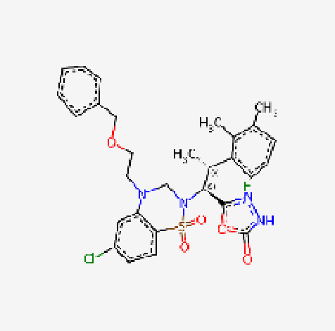 Cc1ccc(F)c([C@@H](C)[C@@H](c2n[nH]c(=O)o2)N2CN(CCOCc3ccccc3)c3cc(Cl)ccc3S2(=O)=O)c1C